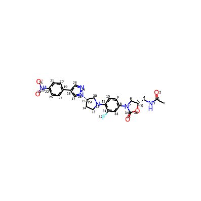 CC(=O)NC[C@H]1CN(c2ccc(N3CC[C@H](n4cc(-c5ccc([N+](=O)[O-])cc5)cn4)C3)c(F)c2)C(=O)O1